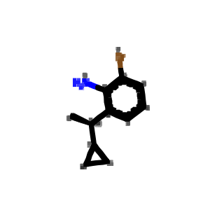 C[C@@H](c1cccc(Br)c1N)C1CC1